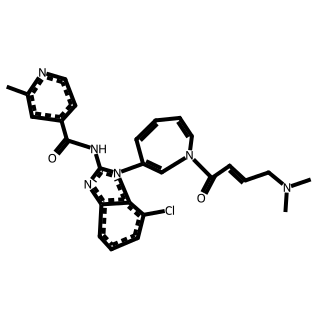 Cc1cc(C(=O)Nc2nc3cccc(Cl)c3n2C2=CN(C(=O)C=CCN(C)C)C=CC=C2)ccn1